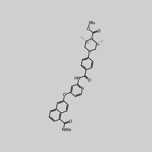 CNC(=O)c1cccc2cc(Oc3ccnc(NC(=O)c4ccc(N5C[C@@H](C)N(C(=O)OC(C)(C)C)[C@@H](C)C5)cc4)c3)ccc12